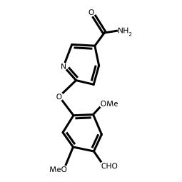 COc1cc(Oc2ccc(C(N)=O)cn2)c(OC)cc1C=O